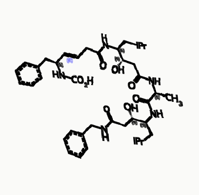 CC(C)C[C@H](NC(=O)C/C=C/[C@H](Cc1ccccc1)NC(=O)O)[C@@H](O)CC(=O)N[C@@H](C)C(=O)N[C@@H](CC(C)C)[C@@H](O)CC(=O)NCc1ccccc1